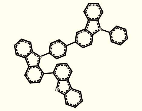 c1ccc(-n2c3ccccc3c3cc(-c4ccc(-n5c6ccccc6c6cccc(-c7cccc8c7oc7ccccc78)c65)cc4)ccc32)cc1